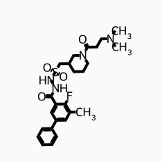 Cc1cc(-c2ccccc2)cc(C(=O)NNS(=O)(=O)CC2CCCN(C(=O)CCN(C)C)C2)c1F